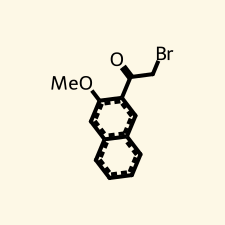 COc1cc2ccccc2cc1C(=O)CBr